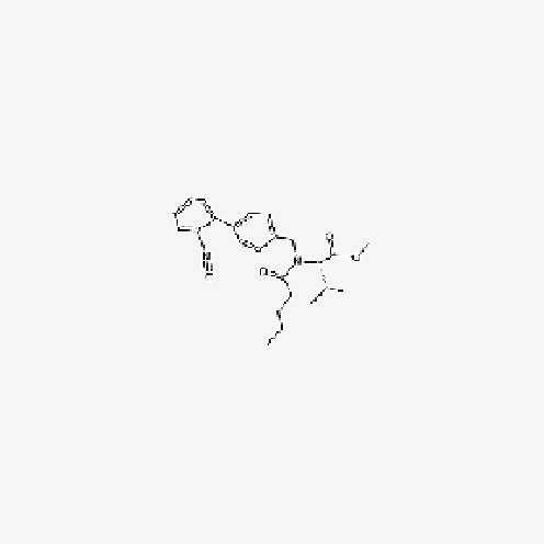 [C-]#[N+]c1ccccc1-c1ccc(CN(C(=O)CCCC)[C@H](C(=O)OC)C(C)C)cc1